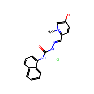 C[n+]1cc(O)ccc1C=NNC(=O)Nc1cccc2ccccc12.[Cl-]